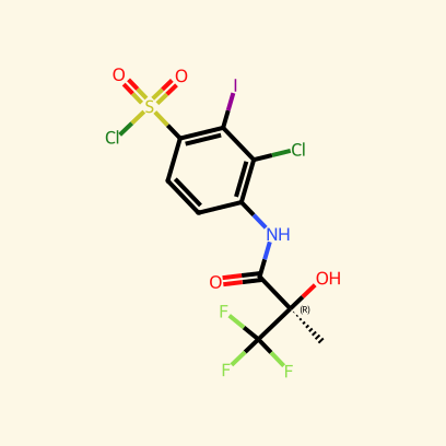 C[C@@](O)(C(=O)Nc1ccc(S(=O)(=O)Cl)c(I)c1Cl)C(F)(F)F